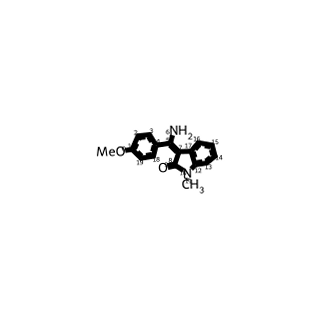 COc1ccc(/C(N)=C2\C(=O)N(C)c3ccccc32)cc1